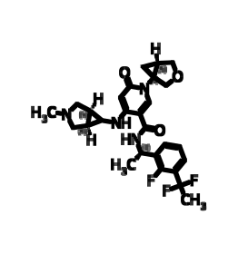 C[C@@H](NC(=O)c1cn([C@]23COC[C@H]2C3)c(=O)cc1NC1[C@H]2CN(C)C[C@@H]12)c1cccc(C(C)(F)F)c1F